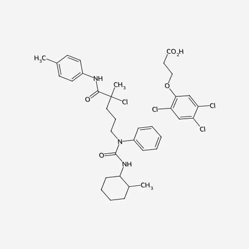 Cc1ccc(NC(=O)C(C)(Cl)CCCN(C(=O)NC2CCCCC2C)c2ccccc2)cc1.O=C(O)CCOc1cc(Cl)c(Cl)cc1Cl